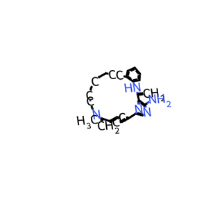 C=C1Nc2ccccc2CCCCCCCCCN(C)C(=C)c2ccc(cc2)-c2cnc(N)c1n2